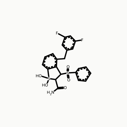 NC(=O)C1C(S(=O)(=O)c2ccccc2)c2c(Cc3cc(F)cc(F)c3)cccc2S1(O)O